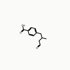 CC(CC=O)Cc1ccc(C(=O)O)cc1